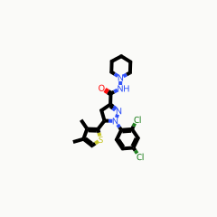 Cc1csc(C2CC(C(=O)NN3CCCCC3)=NN2c2ccc(Cl)cc2Cl)c1C